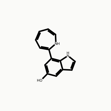 Oc1cc(C2=CC=CC=CN2)c2[nH]ccc2c1